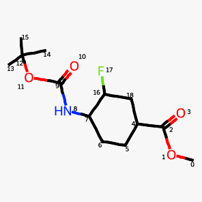 COC(=O)C1CCC(NC(=O)OC(C)(C)C)C(F)C1